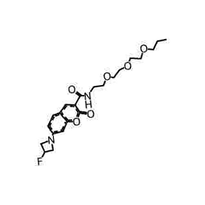 CCCOCCOCCOCCNC(=O)c1cc2ccc(N3CC(F)C3)cc2oc1=O